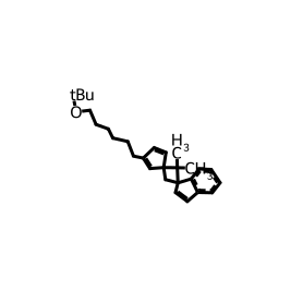 CC(C)(C)OCCCCCCC1=CC2(C=C1)CC1(C=Cc3ccccc31)C2(C)C